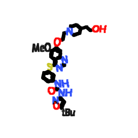 COc1cc2c(Sc3cccc(NC(=O)Nc4cc(C(C)(C)C)on4)c3)ncnc2cc1OCCN1CCC(CCO)CC1